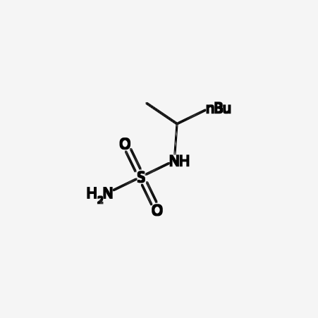 CCCCC(C)NS(N)(=O)=O